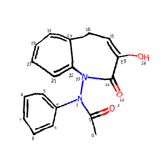 CC(=O)N(c1ccccc1)N1C(=O)C(O)=CCc2ccccc21